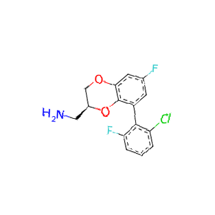 NC[C@H]1COc2cc(F)cc(-c3c(F)cccc3Cl)c2O1